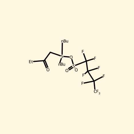 CCCCS(CCCC)(CC(=O)CC)OS(=O)(=O)C(F)(F)C(F)(F)C(F)(F)C(F)(F)F